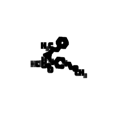 COCCN1CCC(N(C(=O)O)[C@H]2CC2C(C)=Cc2ccccc2)CC1.Cl